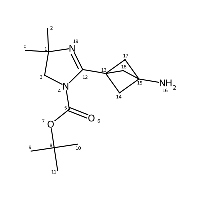 CC1(C)CN(C(=O)OC(C)(C)C)C(C23CC(N)(C2)C3)=N1